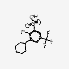 O=S(=O)(O)c1cc(C(F)(F)F)cc(C2CCCCC2)c1F